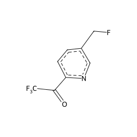 O=C(c1ccc(CF)cn1)C(F)(F)F